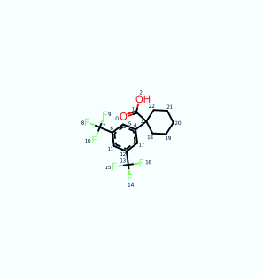 O=C(O)C1(c2cc(C(F)(F)F)cc(C(F)(F)F)c2)CCCCC1